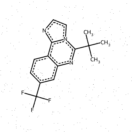 CC(C)(C)c1nc2cc(C(F)(F)F)ccc2c2nccn12